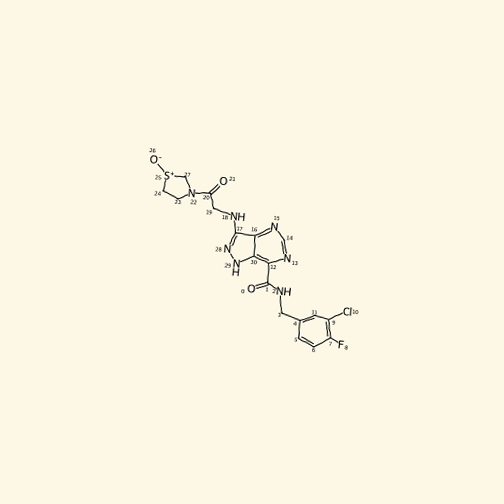 O=C(NCc1ccc(F)c(Cl)c1)c1ncnc2c(NCC(=O)N3CC[S+]([O-])C3)n[nH]c12